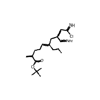 C=C(CC/C=C(\CCC)C/C(C=N)=C/C(=N)Cl)C(=O)OC(C)(C)C